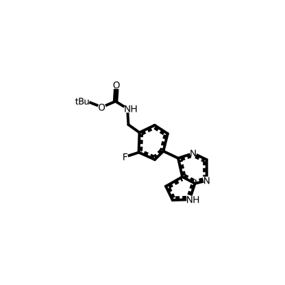 CC(C)(C)OC(=O)NCc1ccc(-c2ncnc3[nH]ccc23)cc1F